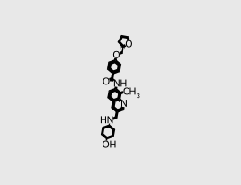 Cc1c(NC(=O)c2ccc(OC[C@H]3CCCO3)cc2)ccc2cc(CN[C@H]3CC[C@H](O)CC3)cnc12